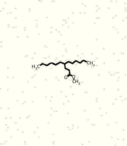 CCCCCCC(CCCCCC)CCC(=O)OC